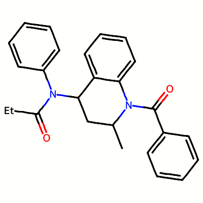 CCC(=O)N(c1ccccc1)C1CC(C)N(C(=O)c2ccccc2)c2ccccc21